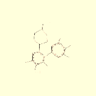 CCCCCCC1CCC(c2cc(F)c(C(=O)O)c(F)c2-c2cc(F)c(F)c(F)c2)CC1